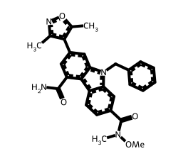 CON(C)C(=O)c1ccc2c3c(C(N)=O)cc(-c4c(C)noc4C)cc3n(Cc3ccccc3)c2c1